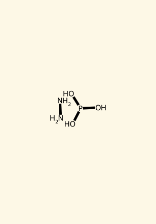 NN.OP(O)O